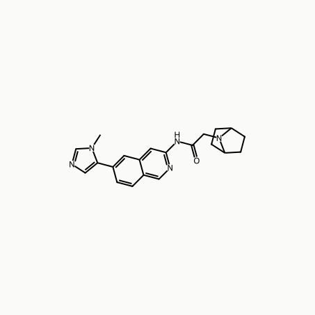 Cn1cncc1-c1ccc2cnc(NC(=O)CN3C4CCC3CC4)cc2c1